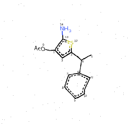 CC(=O)Oc1cc(C(C)c2ccccc2)sc1N